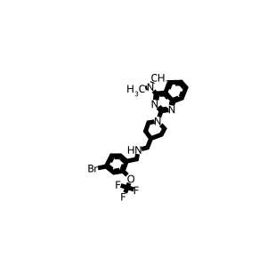 CN(C)c1nc(N2CCC(CNCc3ccc(Br)cc3OC(F)(F)F)CC2)nc2ccccc12